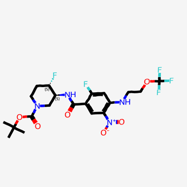 CC(C)(C)OC(=O)N1CC[C@H](F)[C@@H](NC(=O)c2cc([N+](=O)[O-])c(NCCOC(F)(F)F)cc2F)C1